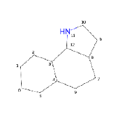 C1CCC2C(C1)CCC1CCNC12